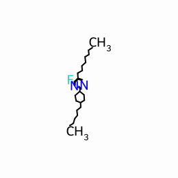 CCCCCCCCCc1cnc(C2CCC(CCCCCCC)CC2)nc1F